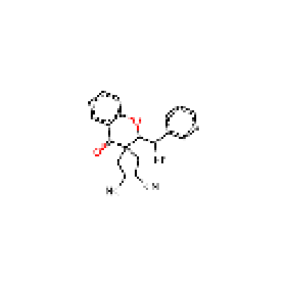 CCC(c1ccccc1)C1Oc2ccccc2C(=O)C1(CCC#N)CCC#N